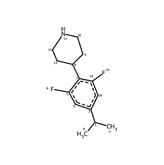 CC(C)c1cc(F)c(C2CCNCC2)c(F)c1